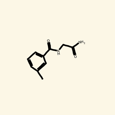 Cc1cccc(C(=O)NCC(N)=O)c1